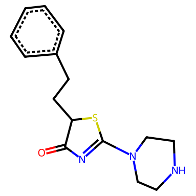 O=C1N=C(N2CCNCC2)SC1CCc1ccccc1